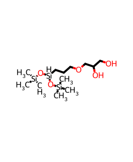 C[Si](C)(C)O[SiH](CCCOCC(O)CO)O[Si](C)(C)C